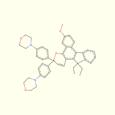 CCC1(CC)c2ccccc2-c2c1c1c(c3cc(OC)ccc23)OC(c2ccc(N3CCOCC3)cc2)(c2ccc(N3CCOCC3)cc2)C=C1